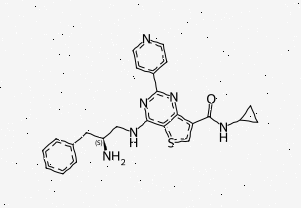 N[C@H](CNc1nc(-c2ccncc2)nc2c(C(=O)NC3CC3)csc12)Cc1ccccc1